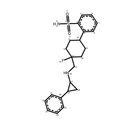 NS(=O)(=O)c1ccccc1C1CCC(F)(CNC2CC2c2ccccc2)CC1